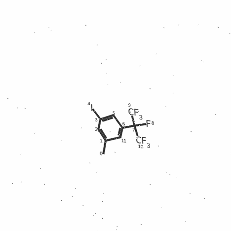 Cc1[c]c(I)cc(C(F)(C(F)(F)F)C(F)(F)F)c1